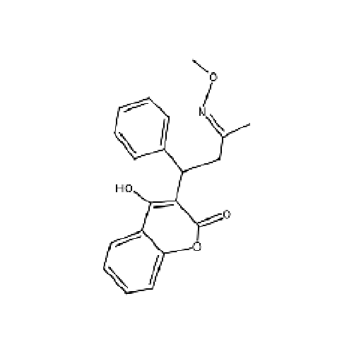 CON=C(C)CC(c1ccccc1)c1c(O)c2ccccc2oc1=O